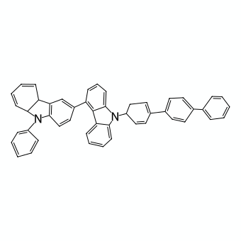 C1=CC2c3cc(-c4cccc5c4c4ccccc4n5C4C=CC(c5ccc(-c6ccccc6)cc5)=CC4)ccc3N(c3ccccc3)C2C=C1